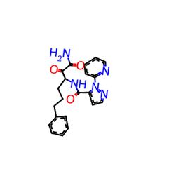 NC(=O)C(=O)C(CCCc1ccccc1)NC(=O)c1ccnn1-c1ccccn1